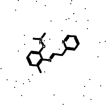 Cc1cccc(O[SiH](C)C)c1N=CCc1ccccn1